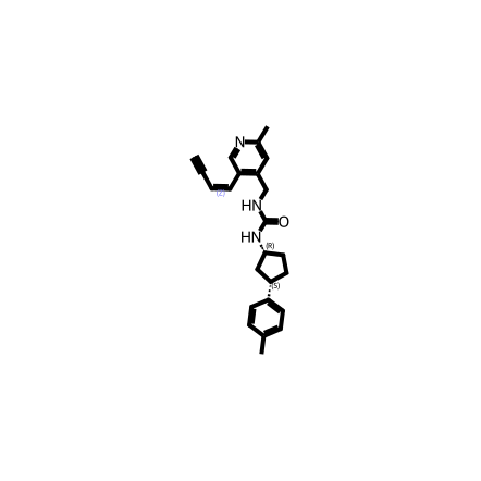 C#C/C=C\c1cnc(C)cc1CNC(=O)N[C@@H]1CC[C@H](c2ccc(C)cc2)C1